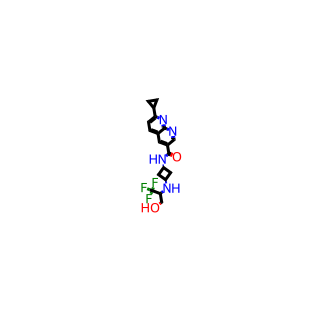 O=C(N[C@H]1C[C@H](NC(CO)C(F)(F)F)C1)c1cnc2nc(C3CC3)ccc2c1